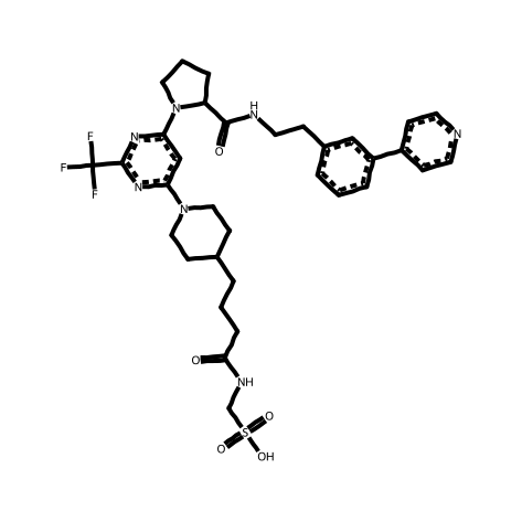 O=C(CCCC1CCN(c2cc(N3CCCC3C(=O)NCCc3cccc(-c4ccncc4)c3)nc(C(F)(F)F)n2)CC1)NCS(=O)(=O)O